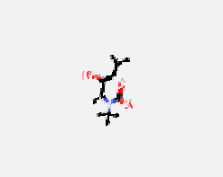 CC(C)CC(O)[C@H](C)N(C(=O)O)C(C)(C)C